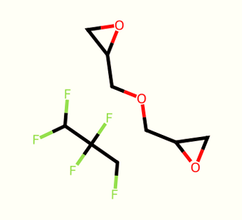 C(OCC1CO1)C1CO1.FCC(F)(F)C(F)F